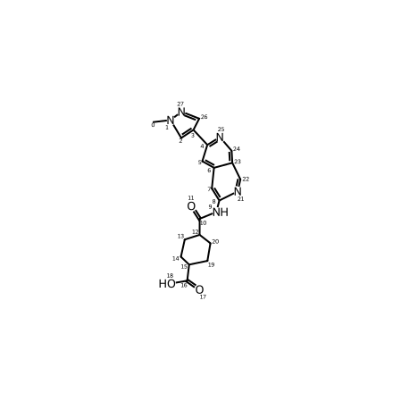 Cn1cc(-c2cc3cc(NC(=O)C4CCC(C(=O)O)CC4)ncc3cn2)cn1